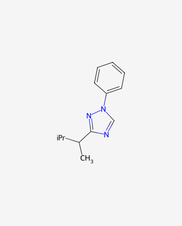 CC(C)C(C)c1ncn(-c2ccccc2)n1